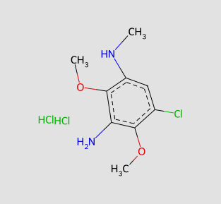 CNc1cc(Cl)c(OC)c(N)c1OC.Cl.Cl